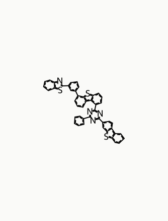 c1ccc(-c2nc(-c3ccc4c(c3)sc3ccccc34)nc(-c3cccc4sc5c(-c6cccc(-c7nc8ccccc8s7)c6)cccc5c34)n2)cc1